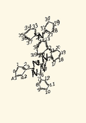 c1ccc(-c2nc(-c3ccccc3)nc(-n3c4ccccc4c4cc(N(c5ccccc5)c5ccccc5)ccc43)n2)cc1